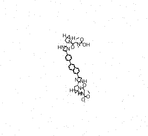 CC[C@H](NC(=O)OC)C(=O)N1[C@@H]2C[C@@H]2C[C@H]1c1nc(-c2ccc3cc(-c4ccc(-c5c[nH]c([C@@H]6C[C@H]7C[C@H]7N6C(=O)[C@H](CC)N(C)C(=O)O)n5)cc4)ccc3c2)c[nH]1